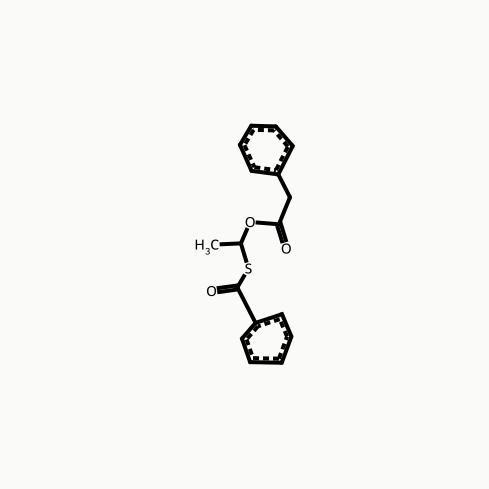 CC(OC(=O)Cc1ccccc1)SC(=O)c1ccccc1